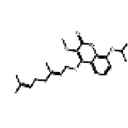 COc1c(OC/C=C(\C)CCC=C(C)C)c2cccc(OC(C)C)c2oc1=O